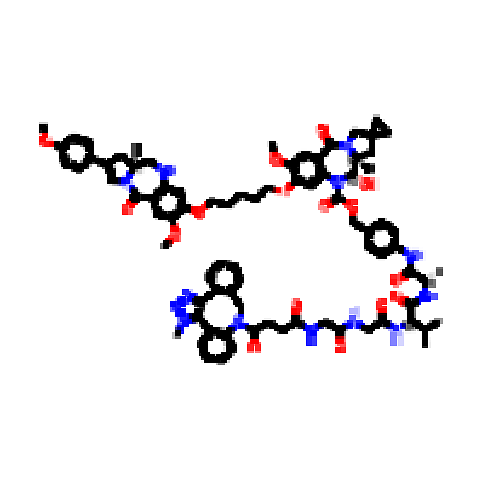 COc1ccc(C2=CN3C(=O)c4cc(OC)c(OCCCCCOc5cc6c(cc5OC)C(=O)N5CC7(CC7)C[C@H]5[C@H](O)N6C(=O)OCc5ccc(NC(=O)[C@H](C)NC(=O)[C@@H](NC(=O)CNC(=O)CNC(=O)CCC(=O)N6Cc7ccccc7-c7nnn(C)c7-c7ccccc76)C(C)C)cc5)cc4NC[C@@H]3C2)cc1